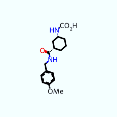 COc1ccc(CNC(=O)[C@H]2CCC[C@@H](NC(=O)O)C2)cc1